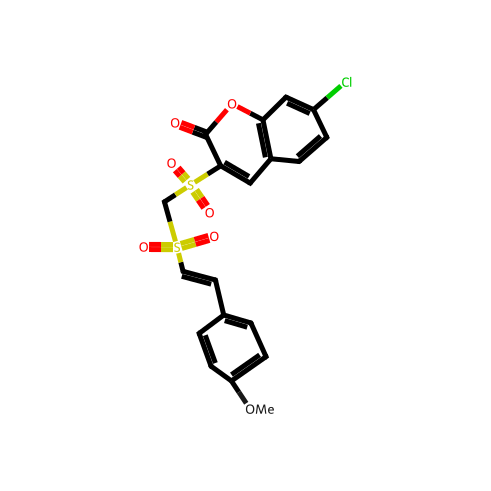 COc1ccc(C=CS(=O)(=O)CS(=O)(=O)c2cc3ccc(Cl)cc3oc2=O)cc1